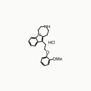 COc1ccccc1OCCc1c2n(c3ccccc13)CCNCC2.Cl